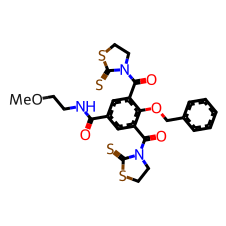 COCCNC(=O)c1cc(C(=O)N2CCSC2=S)c(OCc2ccccc2)c(C(=O)N2CCSC2=S)c1